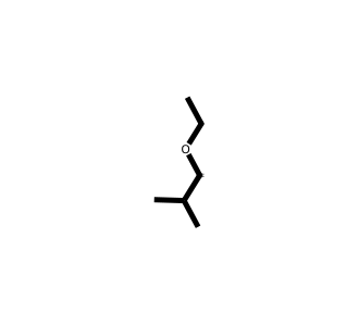 CCO[C]C(C)C